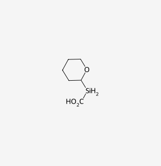 O=C(O)[SiH2]C1CCCCO1